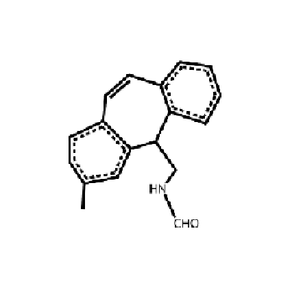 Cc1ccc2c(c1)C(CNC=O)c1ccccc1C=C2